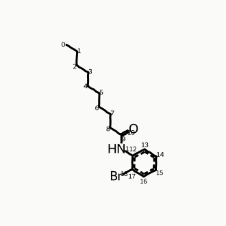 CCCCCCCCCC(=O)Nc1ccccc1Br